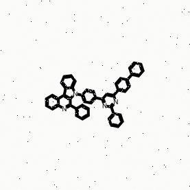 c1ccc(-c2ccc(-c3cc(-c4ccc(-n5c6ccccc6c6c7ccccc7nc(-c7ccccc7)c65)cc4)nc(-c4ccccc4)n3)cc2)cc1